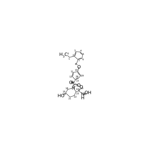 CCc1ccccc1COc1ccc(S(=O)(=O)N2CC(O)CCC2C(=O)NO)cc1